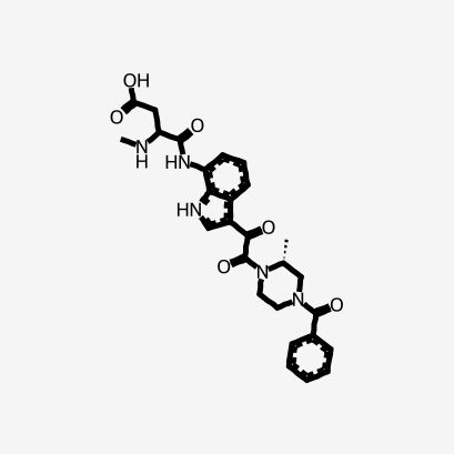 CNC(CC(=O)O)C(=O)Nc1cccc2c(C(=O)C(=O)N3CCN(C(=O)c4ccccc4)C[C@H]3C)c[nH]c12